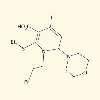 CCSC1=C(C(=O)O)C(C)=CC(N2CCOCC2)N1CCC(C)C